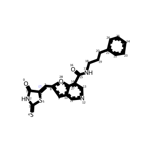 O=C1NC(=S)S/C1=C\c1cc2cncc(C(=O)NCCCc3ccccc3)c2o1